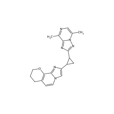 Cc1ncc(C)n2nc(C3CC3c3cn4ccc5c(c4n3)OCCC5)nc12